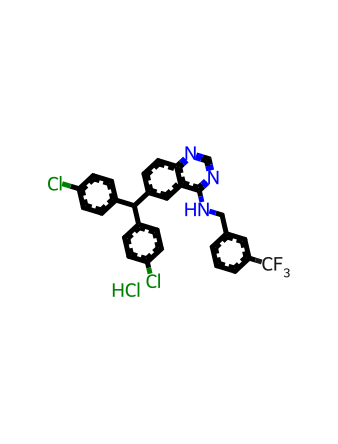 Cl.FC(F)(F)c1cccc(CNc2ncnc3ccc(C(c4ccc(Cl)cc4)c4ccc(Cl)cc4)cc23)c1